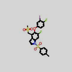 Cc1ccc(S(=O)(=O)n2ccc3c(CS(C)(=O)=O)c(Oc4ccc(F)c(I)c4)c(F)cc32)cc1